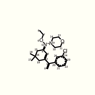 C=C(C1=C/C(=[N+](/OCC)N2CCOCC2)CC(C)(C)C1)c1cccc(Cl)c1